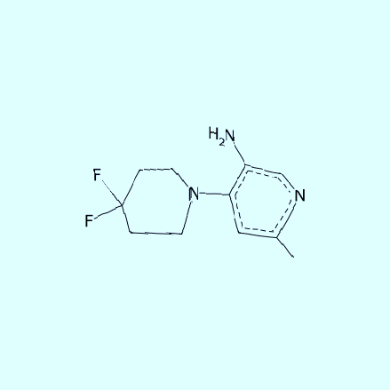 Cc1cc(N2CCC(F)(F)CC2)c(N)cn1